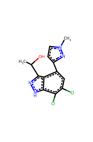 CC(O)c1n[nH]c2c(Cl)c(Cl)cc(-c3ccn(C)n3)c12